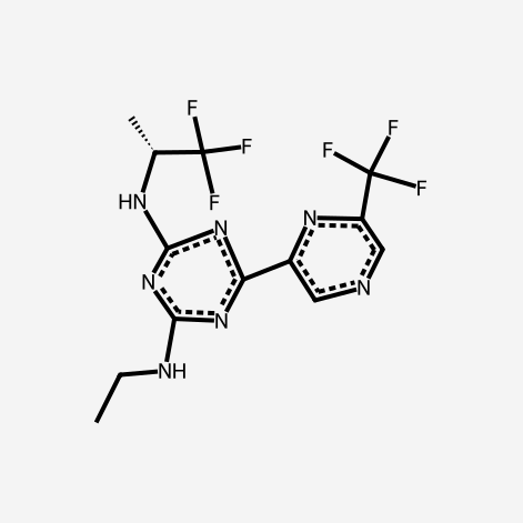 CCNc1nc(N[C@H](C)C(F)(F)F)nc(-c2cncc(C(F)(F)F)n2)n1